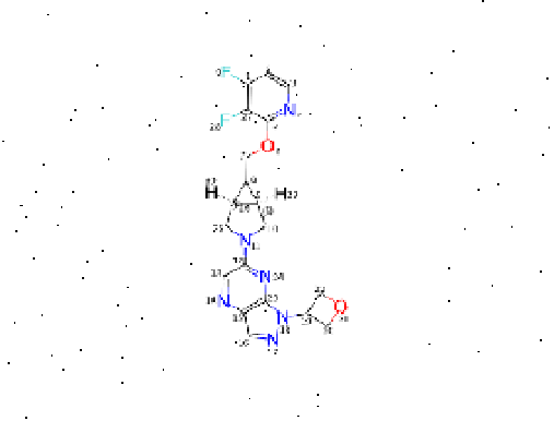 Fc1ccnc(OCC2[C@H]3CN(c4cnc5cnn(C6COC6)c5n4)C[C@@H]23)c1F